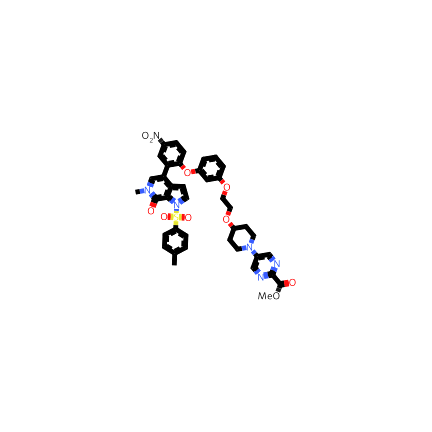 COC(=O)c1ncc(N2CCC(OCCOc3cccc(Oc4ccc([N+](=O)[O-])cc4-c4cn(C)c(=O)c5c4ccn5S(=O)(=O)c4ccc(C)cc4)c3)CC2)cn1